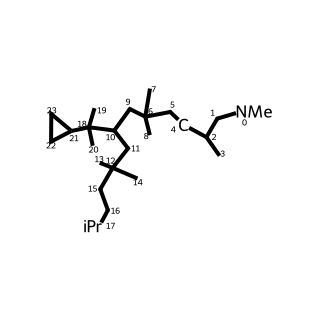 CNCC(C)CCC(C)(C)CC(CC(C)(C)CCC(C)C)C(C)(C)C1CC1